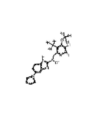 [2H]c1nc(C[S+]([O-])c2nc3cc(-n4cccc4)ccc3[nH]2)c(C([2H])([2H])[2H])c(OC([2H])([2H])[2H])c1[2H]